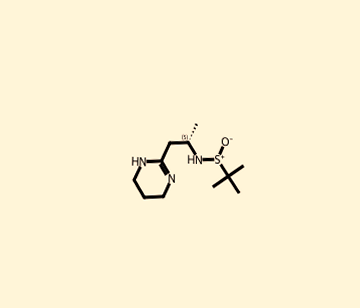 C[C@@H](CC1=NCCCN1)N[S+]([O-])C(C)(C)C